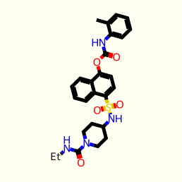 CCNC(=O)N1CCC(NS(=O)(=O)c2ccc(OC(=O)Nc3ccccc3C)c3ccccc23)CC1